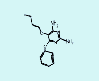 CCCCOc1c(N)nc(N)nc1Oc1ccccc1